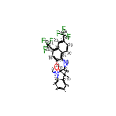 CN1c2ccccc2C(C)(C)C12C=Nc1c(cc(C(F)(F)F)c3cc(C(F)(F)F)ccc13)O2